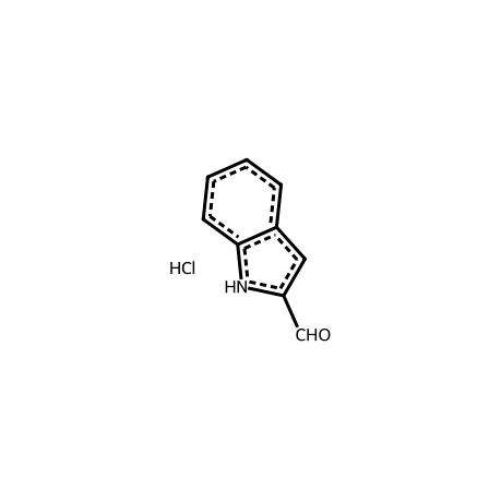 Cl.O=Cc1cc2ccccc2[nH]1